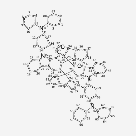 c1ccc(N(c2ccccc2)c2ccc(-n3c4ccccc4c4cc5c(cc43)C3(c4ccccc4-c4ccccc43)c3cc4c6ccccc6n(-c6ccc(N(c7ccccc7)c7ccccc7)cc6)c4cc3C53c4ccccc4-c4ccccc43)cc2)cc1